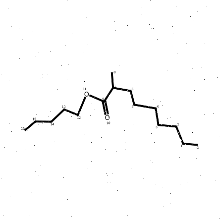 CCCCCCCC(C)C(=O)OCCCCC